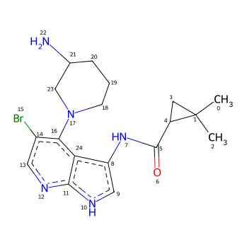 CC1(C)CC1C(=O)Nc1c[nH]c2ncc(Br)c(N3CCCC(N)C3)c12